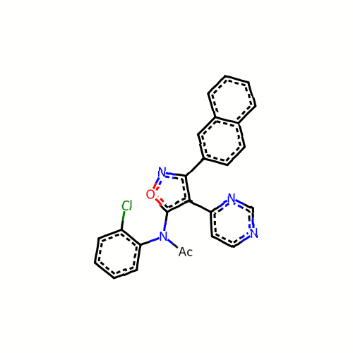 CC(=O)N(c1ccccc1Cl)c1onc(-c2ccc3ccccc3c2)c1-c1ccncn1